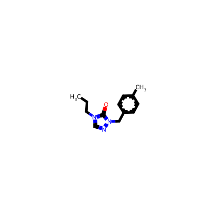 CCCn1cnn(Cc2ccc(C)cc2)c1=O